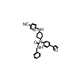 N#Cc1ccc(NC2CCC(N(C(=O)NCc3ccccc3)c3ccc(-c4ccoc4)cc3)CC2)nc1